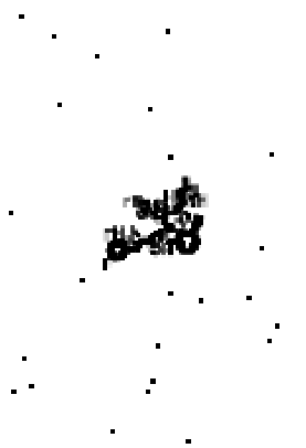 C#Cc1cccc(CN(C[C@@H](O)[C@@H](N)Cc2cc(F)cc(F)c2)C(=O)[C@@H](CS(=O)(=O)CCCC)NC(=O)c2cc(C)n[nH]2)c1